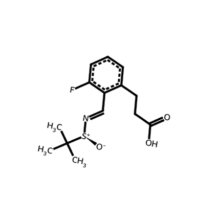 CC(C)(C)[S@+]([O-])N=Cc1c(F)cccc1CCC(=O)O